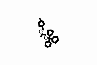 Cc1ccc(COC(C)COC(c2ccccc2)(c2ccccc2)c2ccccc2)cc1